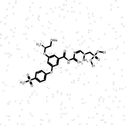 C=C(/N=C\N(N)CP(=O)(OCC)OCC)NC(=O)c1cc(Oc2ccc(S(C)(=O)=O)cc2)cc(O[C@@H](C)COC)c1